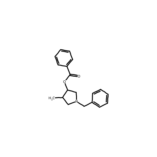 CC1CN(Cc2ccccc2)CC1OC(=O)c1ccccc1